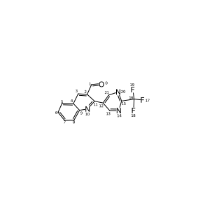 O=Cc1cc2ccccc2nc1-c1cnc(C(F)(F)F)nc1